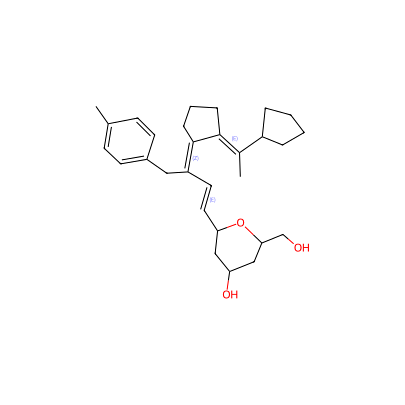 C/C(=C1/CCC/C1=C(/C=C/C1CC(O)CC(CO)O1)Cc1ccc(C)cc1)C1CCCC1